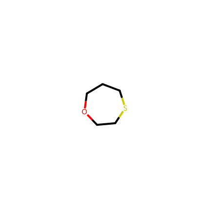 C1COCCSC1